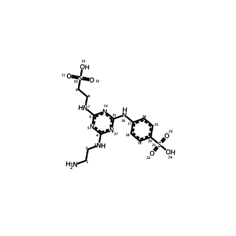 NCCNc1nc(NCCS(=O)(=O)O)nc(Nc2ccc(S(=O)(=O)O)cc2)n1